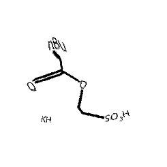 CCCCC(=O)OCS(=O)(=O)O.[KH]